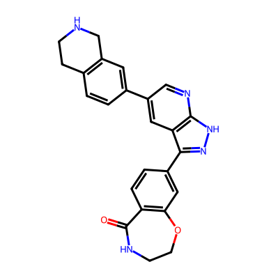 O=C1NCCOc2cc(-c3n[nH]c4ncc(-c5ccc6c(c5)CNCC6)cc34)ccc21